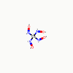 O=[N][Co]([N]=O)([N]=O)[N]=O